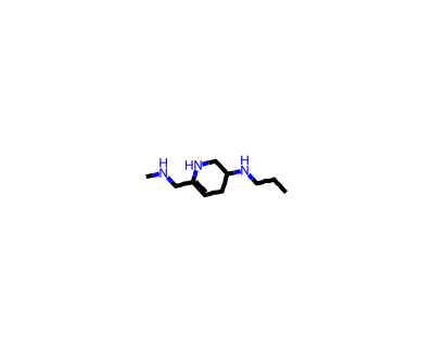 CCCNC1CC=C(CNC)NC1